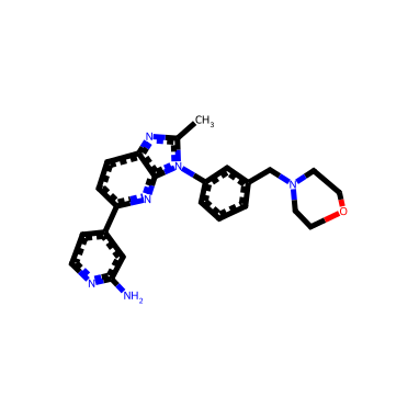 Cc1nc2ccc(-c3ccnc(N)c3)nc2n1-c1cccc(CN2CCOCC2)c1